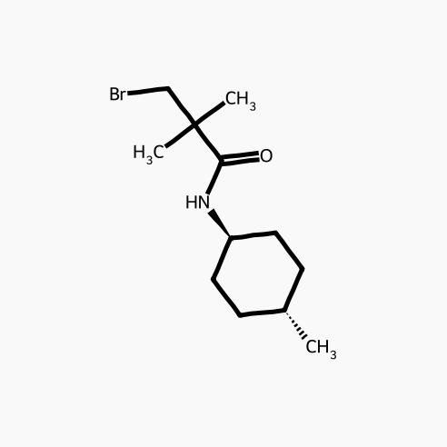 CC(C)(CBr)C(=O)N[C@H]1CC[C@H](C)CC1